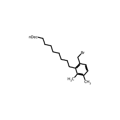 CCCCCCCCCCCCCCCCCCc1c(CBr)ccc(C)c1C